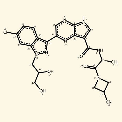 C[C@@H](NC(=O)c1c[nH]c2ncc(-c3nn(CC(O)CO)c4cc(Cl)ccc34)nc12)C(=O)N1CC(C#N)C1